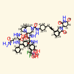 NC(=O)CC[C@H](NC(=O)[C@@H]1CC[C@@H]2CCN(C(=O)NC3CCC(CC#Cc4cccc5c4CN([C@H]4CCC(=O)NC4=O)C5=O)CC3)C[C@H](NC(=O)c3cc4cc(C(F)(F)P(=O)(O)O)ccc4[nH]3)C(=O)N21)C(=O)NC(c1ccccc1)c1ccccc1